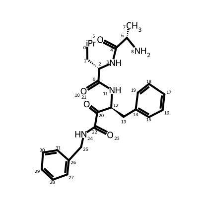 CC(C)C[C@H](NC(=O)[C@H](C)N)C(=O)N[C@@H](Cc1ccccc1)C(=O)C(=O)NCc1ccccc1